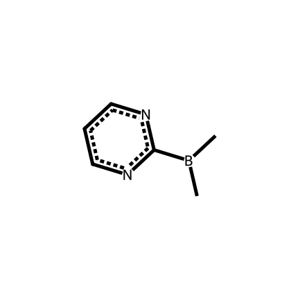 CB(C)c1ncccn1